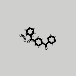 O=C(c1ccccc1)c1ccc(C(=O)c2ccccc2[N+](=O)[O-])cc1